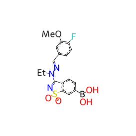 CCN(/N=C/c1ccc(F)c(OC)c1)C1=NS(=O)(=O)c2cc(B(O)O)ccc21